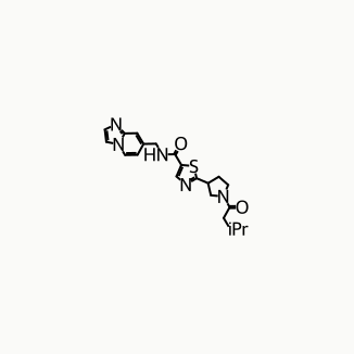 CC(C)CC(=O)N1CCC(c2ncc(C(=O)NCc3ccn4ccnc4c3)s2)C1